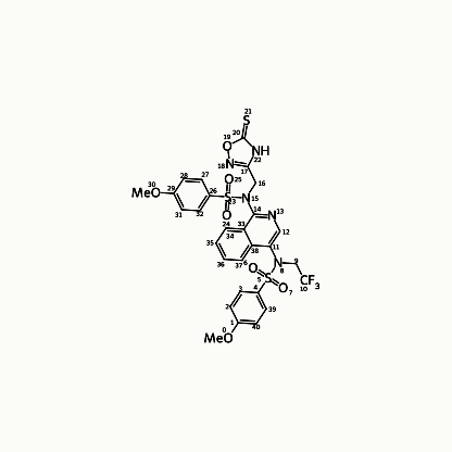 COc1ccc(S(=O)(=O)N(CC(F)(F)F)c2cnc(N(Cc3noc(=S)[nH]3)S(=O)(=O)c3ccc(OC)cc3)c3ccccc23)cc1